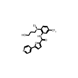 CCN(CCCO)c1ccc(C(F)(F)F)cc1NC(=O)c1ccc(-c2ccncc2)o1